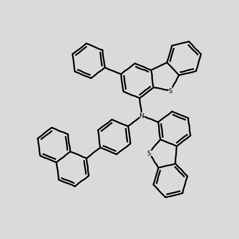 c1ccc(-c2cc(N(c3ccc(-c4cccc5ccccc45)cc3)c3cccc4c3sc3ccccc34)c3sc4ccccc4c3c2)cc1